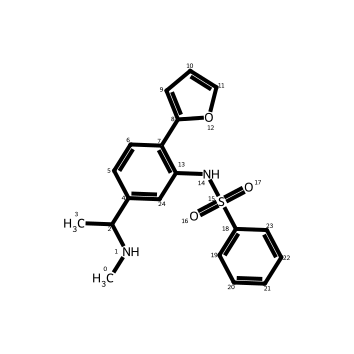 CNC(C)c1ccc(-c2ccco2)c(NS(=O)(=O)c2ccccc2)c1